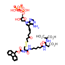 Nc1ncnc2c1c(C#CCCC(=O)CCSSCC(NC(=O)OCC1c3ccccc3-c3ccccc31)C(=O)NCCCCCC(=O)NC(CC(=O)O)C(=O)NC(CC(=O)O)C(=O)O)cn2[C@H]1CC(O)[C@@H](COP(=O)(O)OP(=O)(O)OP(=O)(O)O)O1